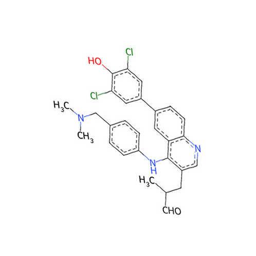 CC(C=O)Cc1cnc2ccc(-c3cc(Cl)c(O)c(Cl)c3)cc2c1Nc1ccc(CN(C)C)cc1